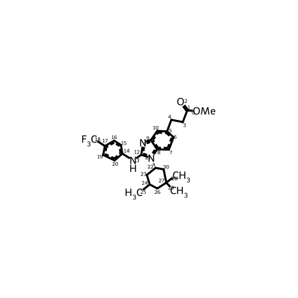 COC(=O)CCc1ccc2c(c1)nc(Nc1ccc(C(F)(F)F)cc1)n2[C@H]1CC(C)CC(C)(C)C1